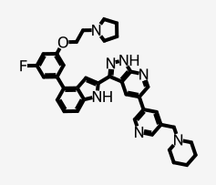 Fc1cc(OCCN2CCCC2)cc(-c2cccc3[nH]c(-c4n[nH]c5ncc(-c6cncc(CN7CCCCC7)c6)cc45)cc23)c1